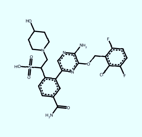 NC(=O)c1ccc(C(CN2CCC(O)CC2)S(=O)(=O)O)c(-c2cnc(N)c(OCc3c(F)ccc(F)c3Cl)n2)c1